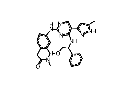 Cc1cc(-c2cnc(Nc3ccc4c(c3)CN(C)C(=O)C4)nc2N[C@H](CO)c2ccccc2)n[nH]1